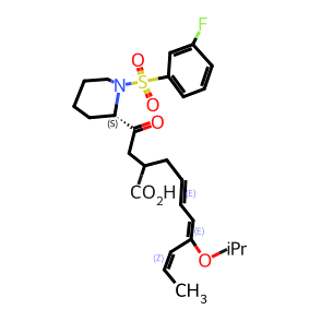 C\C=C/C(=C\C=C\CC(CC(=O)[C@@H]1CCCCN1S(=O)(=O)c1cccc(F)c1)C(=O)O)OC(C)C